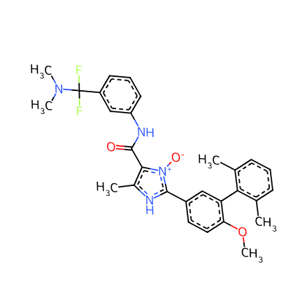 COc1ccc(-c2[nH]c(C)c(C(=O)Nc3cccc(C(F)(F)N(C)C)c3)[n+]2[O-])cc1-c1c(C)cccc1C